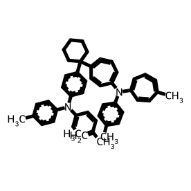 C=C(C)/C=C\C(=C/C)N(c1ccc(C)cc1)c1ccc(C2(C3=C=CC=C(N(C4=CC=C=C(C)C=C4)c4ccc(C)cc4)C=C3)CCCCC2)cc1